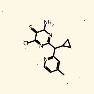 Cc1ccnc(C(C2=NC(N)C(=S)C(Cl)=N2)C2CC2)c1